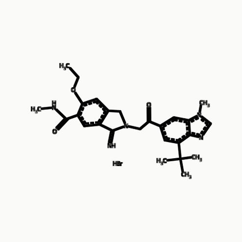 Br.CCOc1cc2c(cc1C(=O)NC)C(=N)N(CC(=O)c1cc(C(C)(C)C)c3ncn(C)c3c1)C2